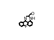 O=CC1CN=C(c2ccccc2F)c2ccccc2N1